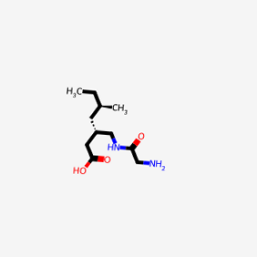 CC[C@@H](C)C[C@H](CNC(=O)CN)CC(=O)O